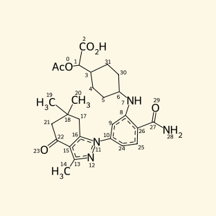 CC(=O)OC(C(=O)O)C1CCC(Nc2cc(-n3nc(C)c4c3CC(C)(C)CC4=O)ccc2C(N)=O)CC1